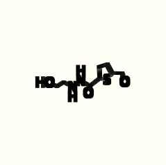 O=Cc1ccc(C(=O)NNCCO)s1